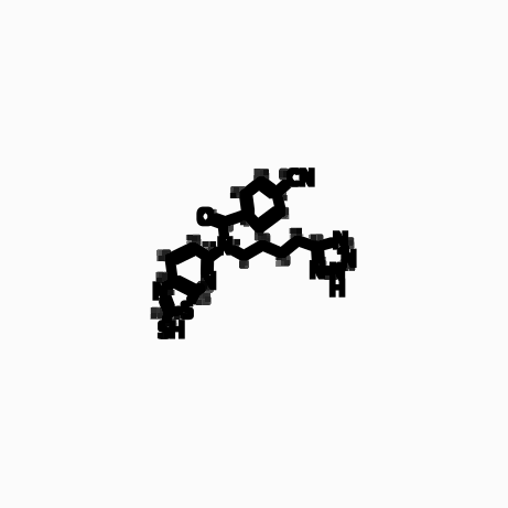 N#Cc1ccc(C(=O)N(CCCCc2nn[nH]n2)c2ccc3nc(S)sc3n2)cc1